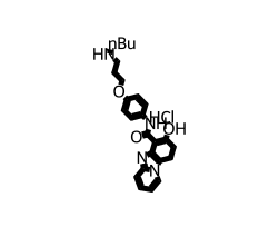 CCCCNCCCOc1ccc(NC(=O)C2=C(O)CCc3c2nc2ccccn32)cc1.Cl